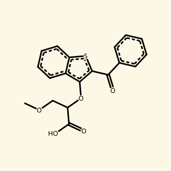 COCC(Oc1c(C(=O)c2ccccc2)sc2ccccc12)C(=O)O